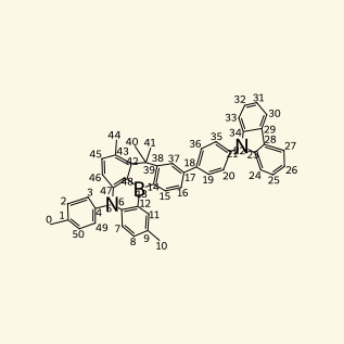 Cc1ccc(N2c3ccc(C)cc3B3c4ccc(-c5ccc(-n6c7ccccc7c7ccccc76)cc5)cc4C(C)(C)c4c(C)ccc2c43)cc1